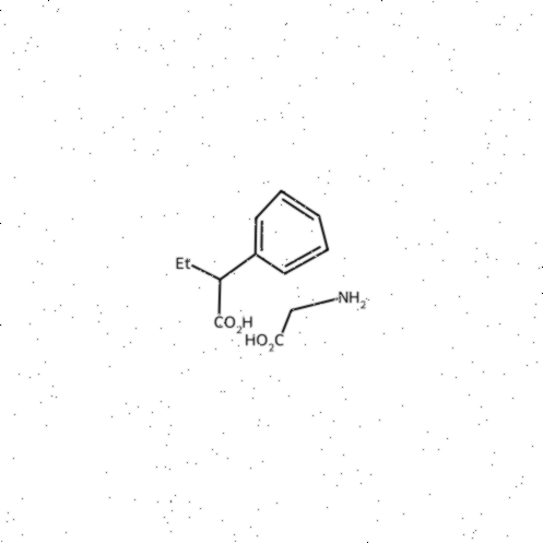 CCC(C(=O)O)c1ccccc1.NCC(=O)O